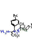 CC(=O)c1ccc(CC(N)C(=O)O)cc1.CC(N)C(=O)O.Cl